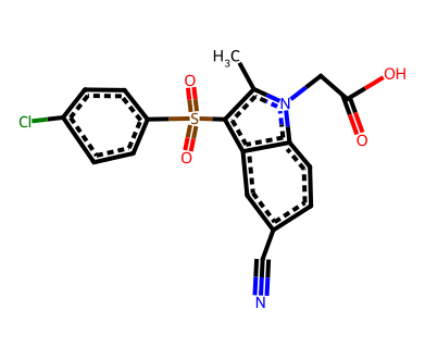 Cc1c(S(=O)(=O)c2ccc(Cl)cc2)c2cc(C#N)ccc2n1CC(=O)O